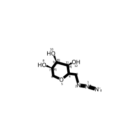 [N-]=[N+]=NCC1OC[C@@H](O)[C@@H](O)[C@H]1O